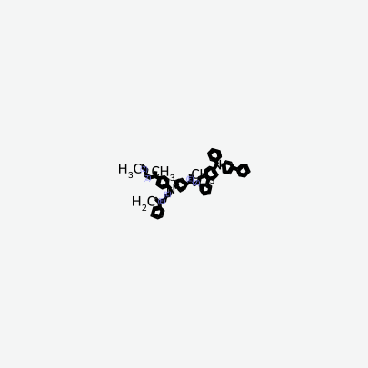 C=C/C(=C\C=C\N(c1ccc(C(/C=C\CC2=C(c3ccccc3)CC=C(N(c3ccccc3)c3ccc(-c4ccccc4)cc3)C=C2)=C/C)cc1)c1ccc(C(C)/C=C\C=C/C)cc1)c1ccccc1